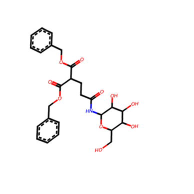 O=C(CCC(C(=O)OCc1ccccc1)C(=O)OCc1ccccc1)NC1OC(CO)C(O)C(O)C1O